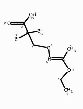 CCOC(C)=NOCC(Br)(Br)C(=O)O